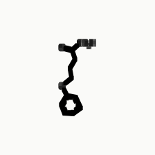 O=C(O)C(=O)CCCOc1ccccc1